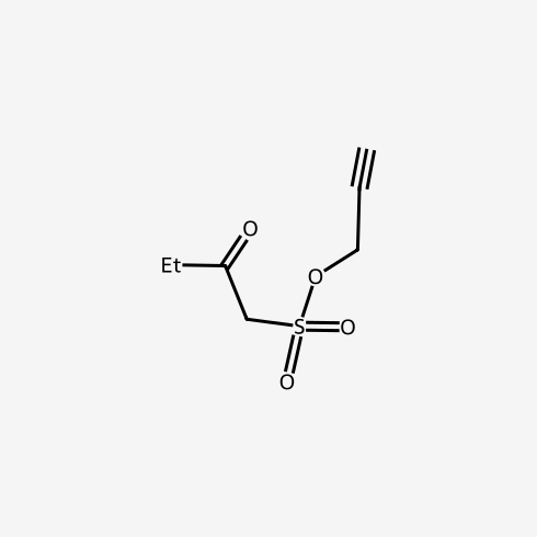 C#CCOS(=O)(=O)CC(=O)CC